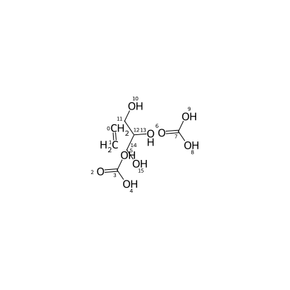 C=C.O=C(O)O.O=C(O)O.OCC(O)CO